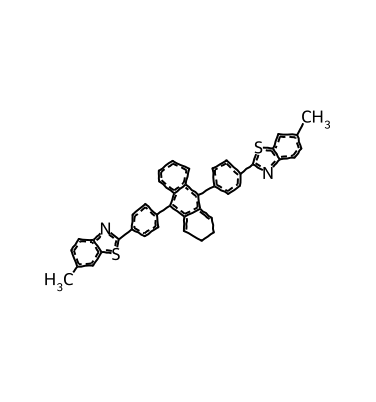 Cc1ccc2nc(-c3ccc(-c4c5c(c(-c6ccc(-c7nc8ccc(C)cc8s7)cc6)c6ccccc46)=CCCC=5)cc3)sc2c1